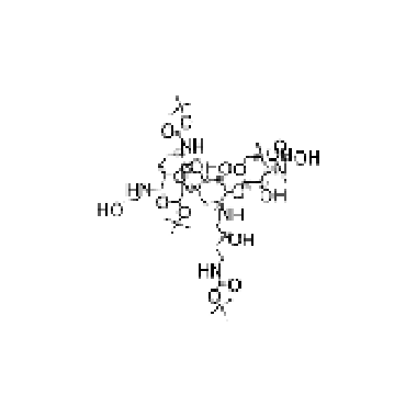 CN(C(=O)O)[C@@H]1[C@@H](O)[C@@H](O[C@@H]2[C@@H](O)[C@H](O[C@H]3OC(CNCCO)=CC[C@H]3NC(=O)OC(C)(C)C)[C@@H](NC(=O)OC(C)(C)C)C[C@H]2NC[C@@H](O)CCNC(=O)OC(C)(C)C)OC[C@]1(C)O